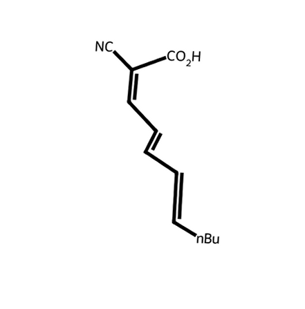 CCCCC=CC=CC=C(C#N)C(=O)O